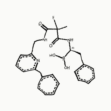 CC(F)(C(=O)NCc1cccc(-c2ccccc2)n1)C(=O)N[C@@H](Cc1ccccc1)B(O)O